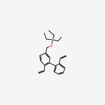 C=Cc1ccccc1-c1cc(CO[Si](CC)(CC)CC)ccc1C=C